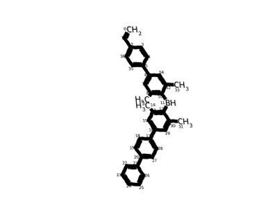 C=Cc1ccc(-c2cc(C)c(Bc3c(C)cc(-c4ccc(-c5ccccc5)cc4)cc3C)c(C)c2)cc1